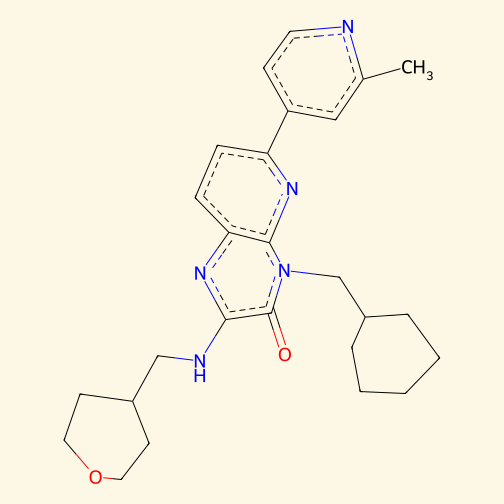 Cc1cc(-c2ccc3nc(NCC4CCOCC4)c(=O)n(CC4CCCCC4)c3n2)ccn1